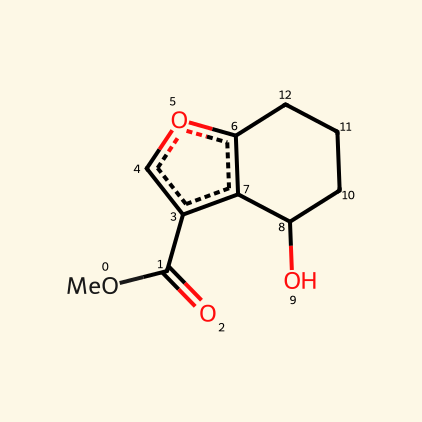 COC(=O)c1coc2c1C(O)CCC2